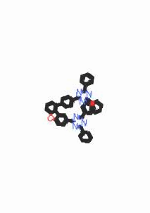 c1ccc(-c2nc(-c3ccccc3)nc(-c3ccc(-c4cccc5oc6ccc(-c7nc(-c8ccccc8)nc(-c8ccccc8)n7)cc6c45)cc3)n2)cc1